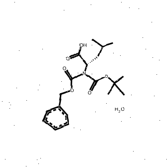 CC(C)C[C@@H](C(=O)O)N(C(=O)OCc1ccccc1)C(=O)OC(C)(C)C.O